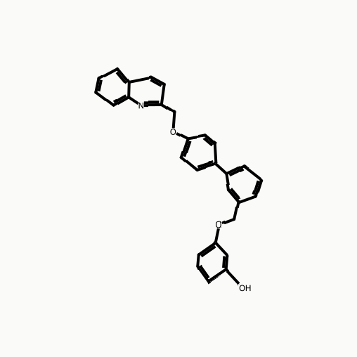 Oc1cccc(OCc2cccc(-c3ccc(OCc4ccc5ccccc5n4)cc3)c2)c1